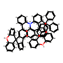 c1ccc(C2(c3ccccc3)c3ccccc3-c3c(N(c4ccccc4-c4ccc5c(c4)C4(c6ccccc6Oc6ccccc64)c4ccccc4-5)c4cccc5c4-c4ccccc4C54c5ccccc5Oc5ccccc54)cccc32)cc1